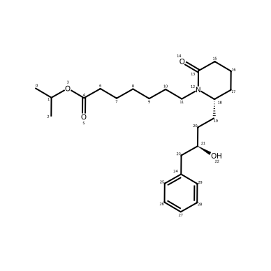 CC(C)OC(=O)CCCCCCN1C(=O)CCC[C@@H]1CC[C@@H](O)Cc1ccccc1